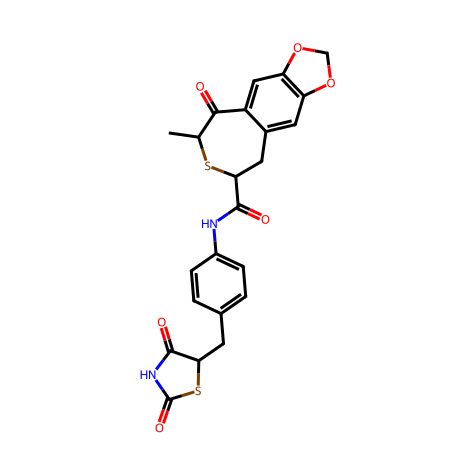 CC1SC(C(=O)Nc2ccc(CC3SC(=O)NC3=O)cc2)Cc2cc3c(cc2C1=O)OCO3